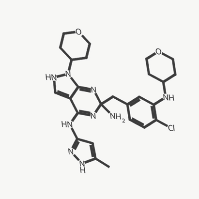 Cc1cc(NC2=NC(N)(Cc3ccc(Cl)c(NC4CCOCC4)c3)N=C3C2=CNN3C2CCOCC2)n[nH]1